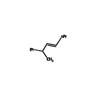 [CH2]C(C)C(C)/C=C/CCC